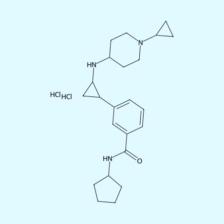 Cl.Cl.O=C(NC1CCCC1)c1cccc(C2CC2NC2CCN(C3CC3)CC2)c1